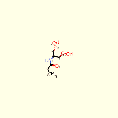 CCC(=O)NC(COO)COO